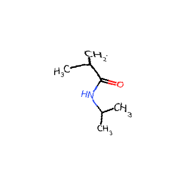 [CH2]C(C)C(=O)NC(C)C